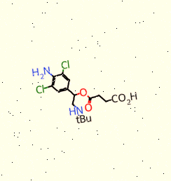 CC(C)(C)NCC(OC(=O)CCC(=O)O)c1cc(Cl)c(N)c(Cl)c1